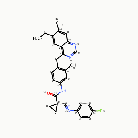 CCc1cc2c(Cc3ccc(NC(=O)C4(/C=N/c5ccc(F)cc5)CC4)cc3C)ncnc2cc1C